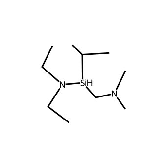 CCN(CC)[SiH](CN(C)C)C(C)C